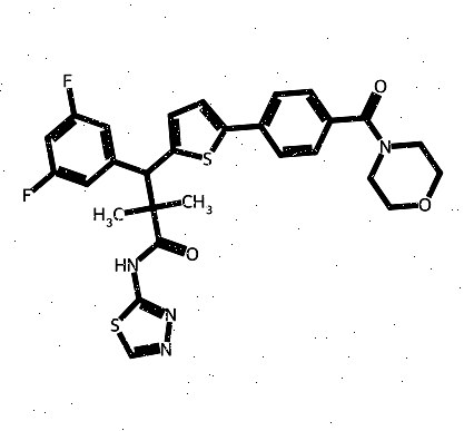 CC(C)(C(=O)Nc1nncs1)C(c1cc(F)cc(F)c1)c1ccc(-c2ccc(C(=O)N3CCOCC3)cc2)s1